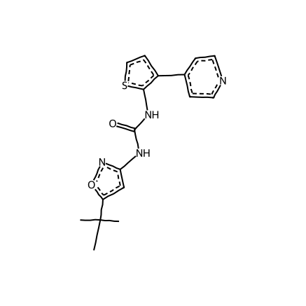 CC(C)(C)c1cc(NC(=O)Nc2sccc2-c2ccncc2)no1